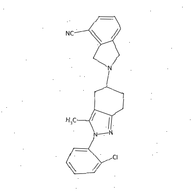 Cc1c2c(nn1-c1ccccc1Cl)CCC(N1Cc3cccc(C#N)c3C1)C2